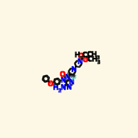 CC(C)(C)OC(=O)N1CCC(N2CC[C@@H](n3c(=O)n(-c4ccc(Oc5ccccc5)cc4)c4c(N)ncnc43)[C@H](F)C2)CC1